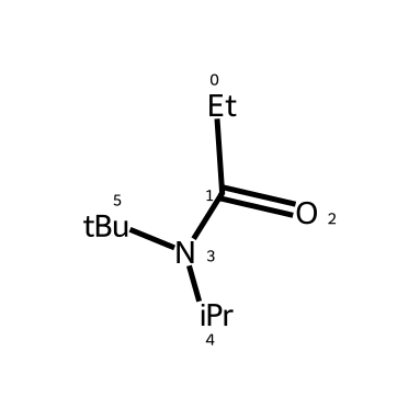 CCC(=O)N(C(C)C)C(C)(C)C